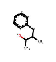 CC([O])C(C)Cc1ccccc1